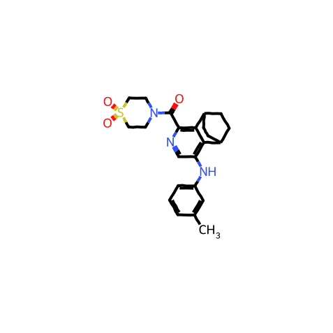 Cc1cccc(Nc2cnc(C(=O)N3CCS(=O)(=O)CC3)c3c2C2CCC3CC2)c1